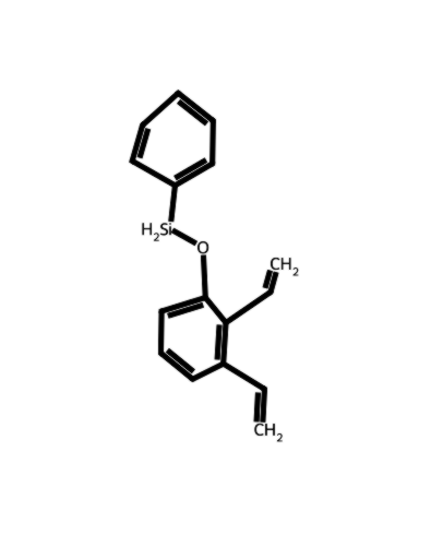 C=Cc1cccc(O[SiH2]c2ccccc2)c1C=C